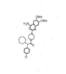 COc1cc2nc(N3CCN(C(=O)C(c4ccc(Cl)cc4)C4CCCCCC4)CC3)nc(N)c2cc1OC